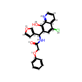 O=C(COc1ccccc1)NC(c1ccoc1)c1cc(Cl)c2cccnc2c1O